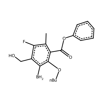 Bc1c(CO)c(F)c(C)c(C(=O)Oc2ccccc2)c1OCCCC